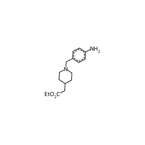 CCOC(=O)CC1CCN(Cc2ccc(N)cc2)CC1